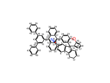 N#Cc1ccc2c(c1)C1(C3=C2CCC=C3)c2ccccc2Oc2ccc(-c3c4ccccc4c(-c4cc(-c5ccccc5)cc(-c5ccccc5)c4)c4ccccc34)cc21